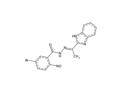 C/C(=N\NC(=O)c1cc(Br)ccc1N=O)c1nc2ccccc2[nH]1